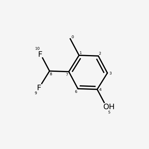 Cc1ccc(O)cc1C(F)F